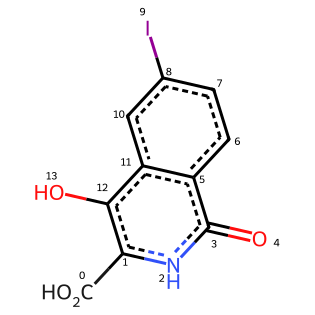 O=C(O)c1[nH]c(=O)c2ccc(I)cc2c1O